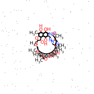 CO[C@H]1/C=C/OC2(C)Oc3c(C)c(O)c4c(O)c(c(/C=N/N5CCN(C)CC5)c(O)c4c3C2=O)NC(=O)/C(C)=C\C=C\[C@H](C)[C@H](O)[C@@H](C)[C@@H](O)[C@@H](C)[C@H](OC(C)=O)[C@@H]1C